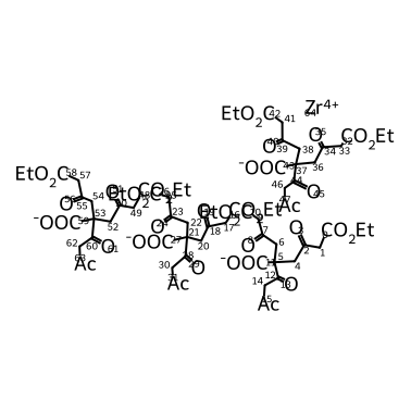 CCOC(=O)CC(=O)CC(CC(=O)CC(=O)OCC)(C(=O)[O-])C(=O)CC(C)=O.CCOC(=O)CC(=O)CC(CC(=O)CC(=O)OCC)(C(=O)[O-])C(=O)CC(C)=O.CCOC(=O)CC(=O)CC(CC(=O)CC(=O)OCC)(C(=O)[O-])C(=O)CC(C)=O.CCOC(=O)CC(=O)CC(CC(=O)CC(=O)OCC)(C(=O)[O-])C(=O)CC(C)=O.[Zr+4]